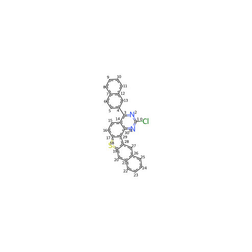 Clc1nc(-c2ccc3ccccc3c2)c2ccc3sc4cc5ccccc5cc4c3c2n1